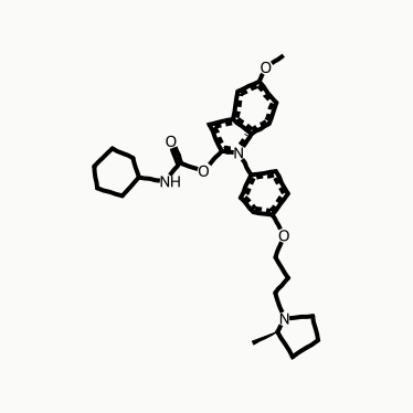 COc1ccc2c(c1)cc(OC(=O)NC1CCCCC1)n2-c1ccc(OCCCN2CCC[C@H]2C)cc1